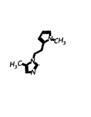 Cc1cn[c]n1CCc1cccn1C